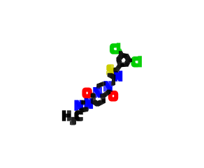 Cc1cn(-c2ccc3n(c2=O)CCN(Cc2csc(-c4cc(Cl)cc(Cl)c4)n2)C3=O)cn1